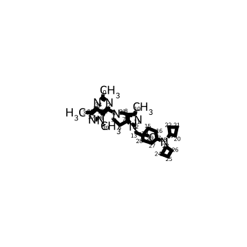 Cc1nc(N2CCc3c(c(C)nn3CC34CCC(N(C5CCC5)C5CCC5)(CC3)CC4)C2)c2c(n1)c(C)nn2C